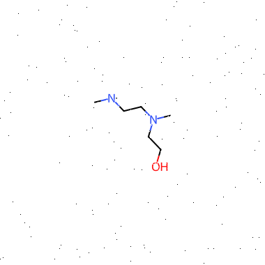 C[N]CCN(C)CCO